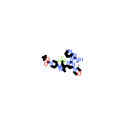 CNc1nc2ncccc2n1-c1nc(-c2c(C)nn(C3CCN(C(=O)OC(C)(C)C)CC3)c2C(F)(F)F)cc(N2CCOC[C@H]2C)n1